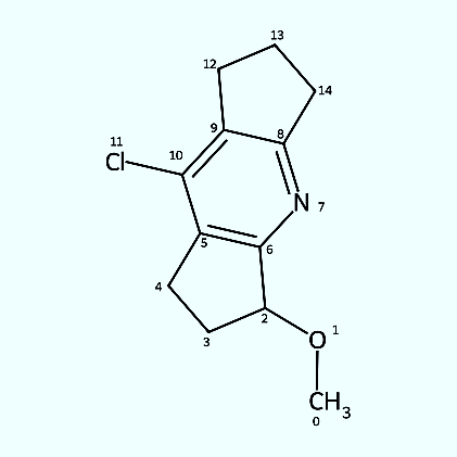 COC1CCc2c1nc1c(c2Cl)CCC1